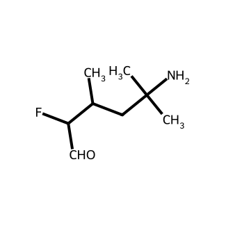 CC(CC(C)(C)N)C(F)C=O